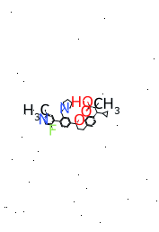 Cc1cc(-c2ccc(C3CCc4ccc([C@H](C5CC5)[C@H](C)C(=O)O)cc4O3)cc2CN2CCCC2)c(F)cn1